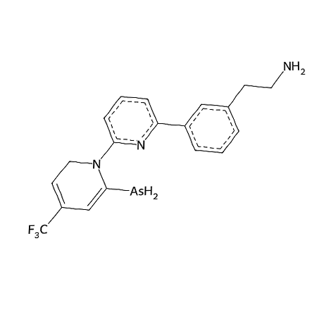 NCCc1cccc(-c2cccc(N3CC=C(C(F)(F)F)C=C3[AsH2])n2)c1